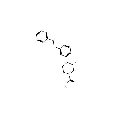 CC(C)(C)OC(=O)N1CC[C@H](c2cccc(OCc3ccccc3)c2)[C@@H](C(=O)O)C1